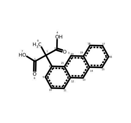 CC(C(=O)O)(C(=O)O)c1cccc2cc3ccccc3cc12